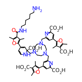 Cc1oc(C2=CC(CN3CCN(Cc4cc(-c5oc(C)c(C(=O)O)c5C)cc(C(=O)O)n4)CCN(Cc4cc(-c5oc(C)c(C(=O)O)c5C)cc(C(=O)O)n4)CC3)(C(=O)O)NC=C2)c(C)c1C(=O)NCCCCCCN